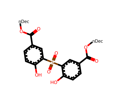 CCCCCCCCCCOC(=O)c1ccc(O)c(S(=O)(=O)c2cc(C(=O)OCCCCCCCCCC)ccc2O)c1